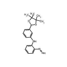 CC1(C)OB(c2cccc(Nc3ccccc3N=N)c2)OC1(C)C